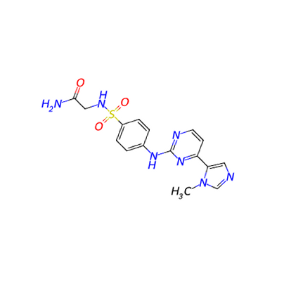 Cn1cncc1-c1ccnc(Nc2ccc(S(=O)(=O)NCC(N)=O)cc2)n1